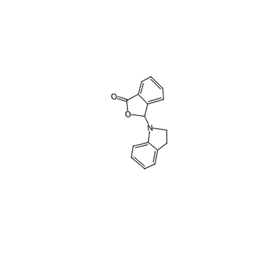 O=C1OC(N2CCc3ccccc32)c2ccccc21